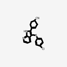 N#CC1CC=C(c2[nH]c3ncccc3c2Sc2ccc(Cl)cc2)CC1